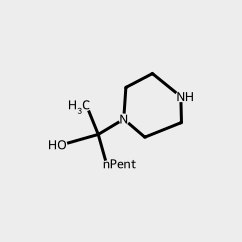 CCCCCC(C)(O)N1CCNCC1